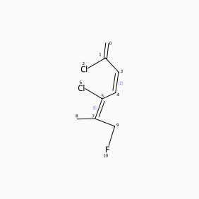 C=C(Cl)/C=C\C(Cl)=C(\C)CF